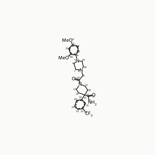 COc1ccc(N2CCN(CC(=O)N3CCC(C(N)=O)(c4cccc(C(F)(F)F)c4)CC3)CC2)c(OC)c1